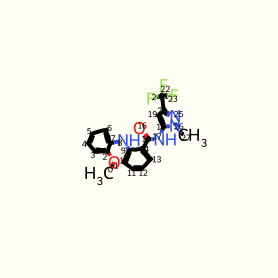 COc1ccccc1Nc1ccccc1C(=O)Nc1cc(C(F)(F)F)nn1C